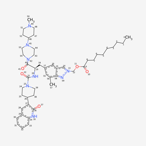 CCCCCCCCCC(=O)OCn1cc2cc(C[C@@H](NC(=O)N3CCC(c4cc5ccccc5[nH]c4=O)CC3)C(=O)N3CCN(C4CCN(C)CC4)CC3)cc(C)c2n1